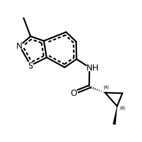 Cc1nsc2cc(NC(=O)[C@@H]3C[C@H]3C)ccc12